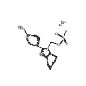 CC(C)(C)c1ccc(-c2nc3ccccc3n2COP(=O)([O-])[O-])cc1.[Na+].[Na+]